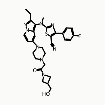 CCc1nn2ccc(N3CCN(CC(=O)N4CC(CO)C4)CC3)cc2c1N(C)c1nc(-c2ccc(F)cc2)c(C#N)s1